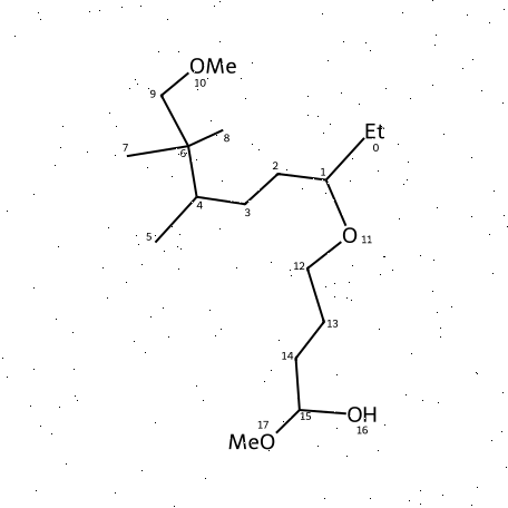 CCC(CCC(C)C(C)(C)COC)OCCCC(O)OC